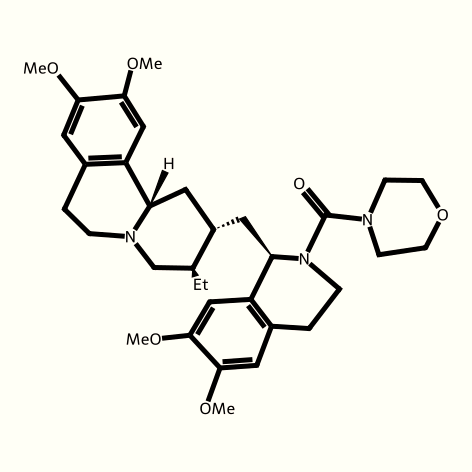 CC[C@H]1CN2CCc3cc(OC)c(OC)cc3[C@@H]2C[C@@H]1C[C@@H]1c2cc(OC)c(OC)cc2CCN1C(=O)N1CCOCC1